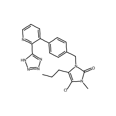 CCCc1c(Cl)n(C)c(=O)n1Cc1ccc(-c2cccnc2-c2nnn[nH]2)cc1